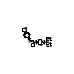 CCC(CC)N1CCN(C(=O)CSc2ccc(Cl)cc2)CC1